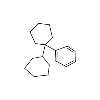 c1ccc(C2(C3CCCCC3)CCCCC2)cc1